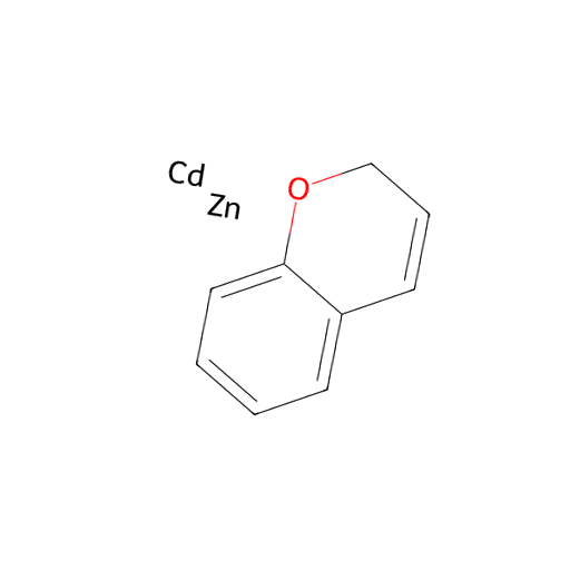 C1=Cc2ccccc2OC1.[Cd].[Zn]